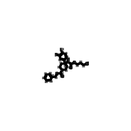 O=C(NC1(c2ccc(F)c(F)c2)CCN(C(=O)OCc2ccccc2)CC1)OCCCCl